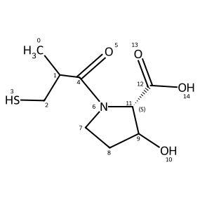 CC(CS)C(=O)N1CCC(O)[C@H]1C(=O)O